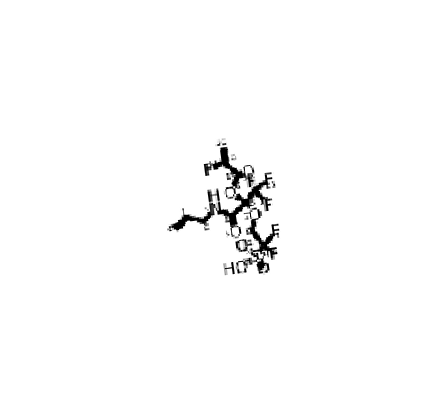 C=CCNC(=O)C(OCC(F)(F)S(=O)(=O)O)(OC(=O)C(=C)F)C(F)(F)F